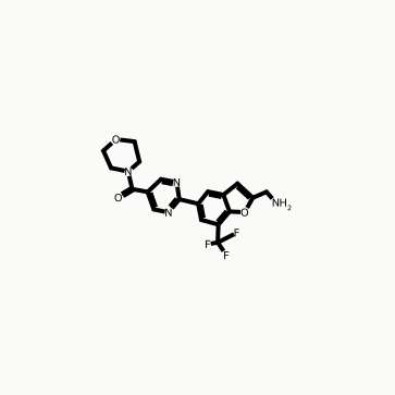 NCc1cc2cc(-c3ncc(C(=O)N4CCOCC4)cn3)cc(C(F)(F)F)c2o1